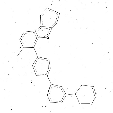 Ic1ccc2c(sc3ccccc32)c1-c1ccc(-c2cccc(C3C=CC=CC3)c2)cc1